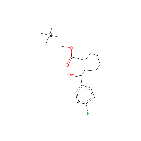 C[Si](C)(C)CCOC(=O)C1CCCCC1C(=O)c1ccc(Br)cc1